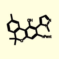 CCCCCc1cc2c(c(O)c1-c1ccnn1C)-c1cc(C)ccc1C(C)(C)O2